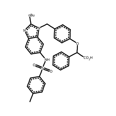 CCCCc1nc2ccc(NS(=O)(=O)c3ccc(C)cc3)cc2n1Cc1ccc(OC(C(=O)O)c2ccccc2)cc1